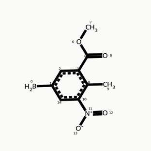 Bc1cc(C(=O)OC)c(C)c([N+](=O)[O-])c1